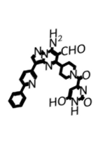 Nc1c(C=O)c(C2CCN(C(=O)c3cc(O)[nH]c(=O)n3)CC2)nc2c(-c3ccc(-c4ccccc4)nc3)cnn12